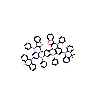 CC1(C)c2ccccc2N(c2cc3c4c(c2)N(c2ccccc2)c2c(oc5ccccc25)B4c2cc4c(cc2N3c2ccccc2)N(c2ccccc2)c2cc(N3c5ccccc5C(C)(C)c5ccccc53)cc3c2B4c2oc4ccccc4c2N3c2ccccc2)c2ccccc21